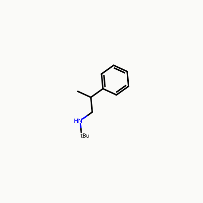 CC(CNC(C)(C)C)c1ccccc1